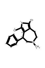 CN1CCc2c(Cl)sc(Cl)c2C(c2ccccc2)C1